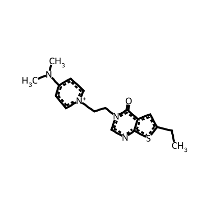 CCc1cc2c(=O)n(CC[n+]3ccc(N(C)C)cc3)cnc2s1